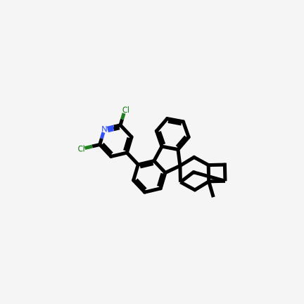 CC12CC3CC1CC2CC31c2ccccc2-c2c(-c3cc(Cl)nc(Cl)c3)cccc21